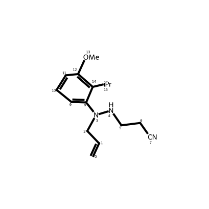 C=CCN(NCCC#N)c1cccc(OC)c1C(C)C